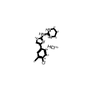 Cc1cc(-c2csc(NC3=NCCCN3)n2)ccc1Cl.Cl